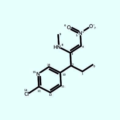 CCC(C(=C[N+](=O)[O-])NC)c1ccc(Cl)nc1